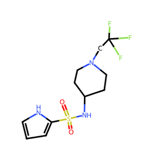 O=S(=O)(NC1CCN(CC(F)(F)F)CC1)c1ccc[nH]1